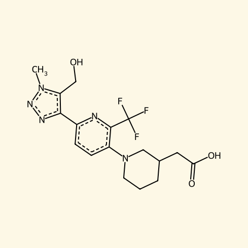 Cn1nnc(-c2ccc(N3CCCC(CC(=O)O)C3)c(C(F)(F)F)n2)c1CO